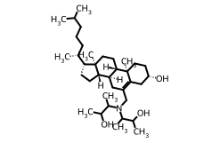 CC(C)CCC[C@@H](C)[C@H]1CC[C@H]2[C@@H]3CC(CN(C(C)C(C)O)C(C)C(C)O)=C4C[C@@H](O)CC[C@]4(C)[C@H]3CC[C@]12C